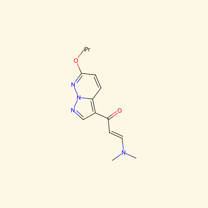 CC(C)Oc1ccc2c(C(=O)C=CN(C)C)cnn2n1